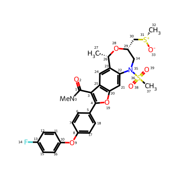 CNC(=O)c1c(-c2ccc(Oc3ccc(F)cc3)cc2)oc2cc3c(cc12)[C@H](C)O[C@H](C[S@+](C)[O-])CN3S(C)(=O)=O